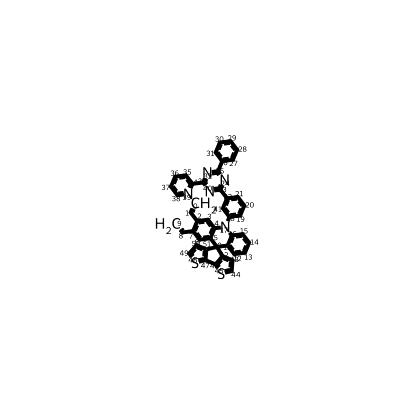 C=Cc1cc2c(cc1C=C)C1(c3ccccc3N2c2cccc(-c3nc(-c4ccccc4)nc(-c4ccccn4)n3)c2)c2ccsc2-c2sccc21